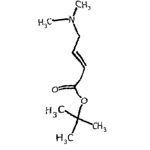 CN(C)CC=CC(=O)OC(C)(C)C